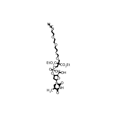 CCOC(=O)C(COCSCCOCCOCCN=[N+]=[N-])(COP(=O)(O)OC1C[C@H](n2cc(C)c(=O)[nH]c2=O)O[C@@H]1CO)C(=O)OCC